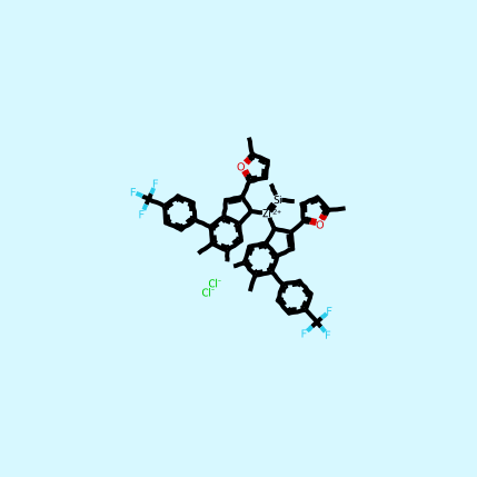 Cc1ccc(C2=Cc3c(cc(C)c(C)c3-c3ccc(C(F)(F)F)cc3)[CH]2[Zr+2]([CH]2C(c3ccc(C)o3)=Cc3c2cc(C)c(C)c3-c2ccc(C(F)(F)F)cc2)=[Si](C)C)o1.[Cl-].[Cl-]